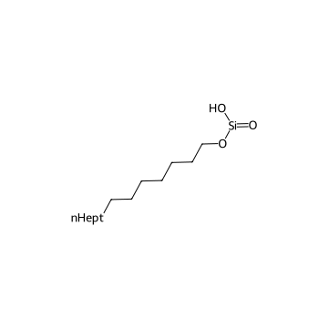 CCCCCCCCCCCCCCO[Si](=O)O